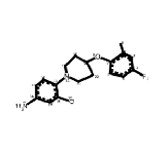 Cc1cc(F)ccc1OC1CCN(c2ccc(N)cc2Cl)CC1